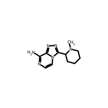 CN1CCCCC1c1nnc2c(N)nccn12